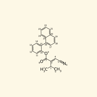 CC(C)C(=CC#N)C(=O)Oc1ccccc1-c1cccc2ccccc12